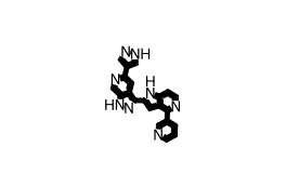 c1cncc(-c2nccc3[nH]c(-c4n[nH]c5cnc(-c6cn[nH]c6)cc45)cc23)c1